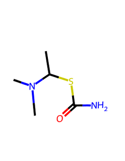 CC(SC(N)=O)N(C)C